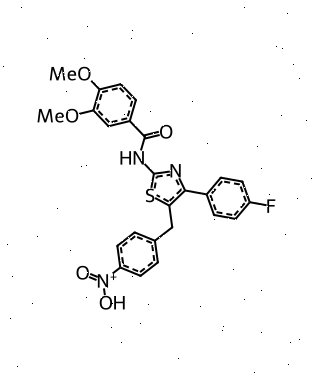 COc1ccc(C(=O)Nc2nc(-c3ccc(F)cc3)c(Cc3ccc([N+](=O)O)cc3)s2)cc1OC